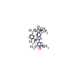 Cc1cc(-c2nc3cc4c(cc3n2[C@@H](C)c2ccccc2)N(C)C(=O)C4(C)C)cn(C)c1=O